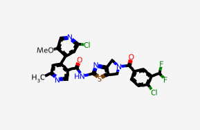 COc1cnc(Cl)cc1-c1cc(C)ncc1C(=O)Nc1nc2c(s1)CN(C(=O)c1ccc(Cl)c(C(F)F)c1)C2